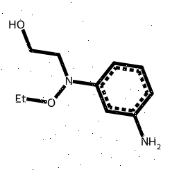 CCON(CCO)c1cccc(N)c1